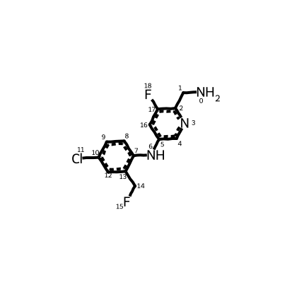 NCc1ncc(Nc2ccc(Cl)cc2CF)cc1F